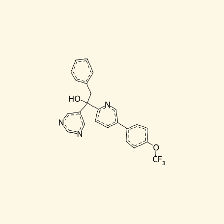 OC(Cc1ccccc1)(c1cncnc1)c1ccc(-c2ccc(OC(F)(F)F)cc2)cn1